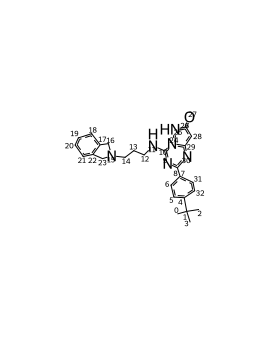 CC(C)(C)c1ccc(-c2nc(NCCCN3Cc4ccccc4C3)n3[nH]c(=O)cc3n2)cc1